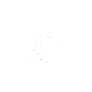 COc1cc(C(=O)c2ccc(C(=O)c3cc(OC)c(O)c(O)c3O)cc2)c(O)c(O)c1O